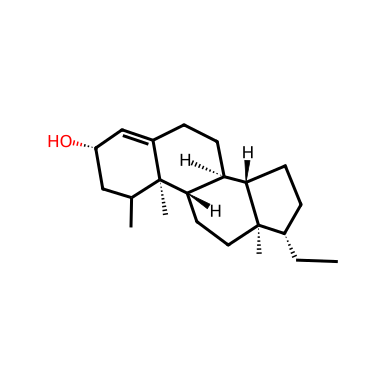 CC[C@H]1CC[C@H]2[C@@H]3CCC4=C[C@@H](O)CC(C)[C@]4(C)[C@H]3CC[C@]12C